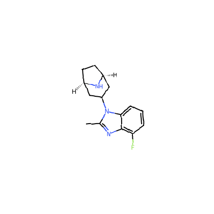 Cc1nc2c(F)cccc2n1C1C[C@H]2CC[C@@H](C1)N2